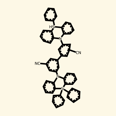 N#Cc1cc(-c2cc(C#N)cc(N3c4ccccc4[Si](c4ccccc4)(c4ccccc4)c4ccccc43)c2)cc(N2c3ccccc3[SiH](c3ccccc3)c3ccccc32)c1